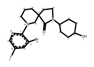 O=C1N(C2CCC(O)CC2)CCC12CCCN(c1ncc(F)cc1Br)C2